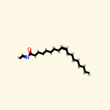 CC=NC(=O)CCCCCCC/C=C\CCCCCCCC